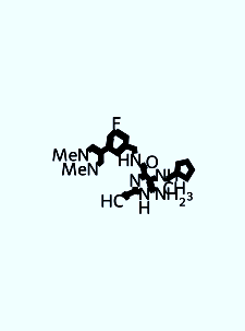 C#CC1N=C(C(=O)NCc2cc(F)cc(/C(=C/NC)CNC)c2)C(NC(C)C2CCCC2)=C(N)N1